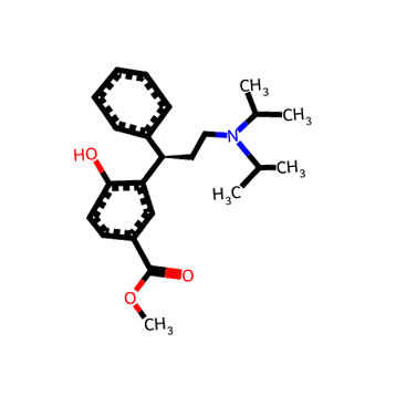 COC(=O)c1ccc(O)c([C@H](CCN(C(C)C)C(C)C)c2ccccc2)c1